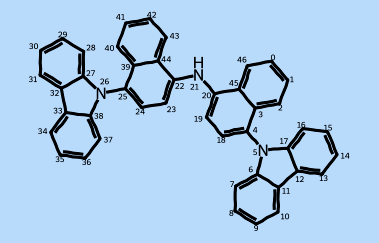 c1ccc2c(-n3c4ccccc4c4ccccc43)ccc(Nc3ccc(-n4c5ccccc5c5ccccc54)c4ccccc34)c2c1